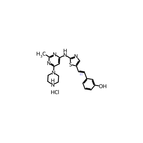 Cc1nc(Nc2ncc(/C=C/c3cccc(O)c3)s2)cc(N2CCNCC2)n1.Cl